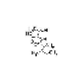 CCC(C)C(N)C(=O)NC(C(=O)O)C(C)O